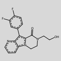 O=C1c2c(-c3ccc(F)c(F)c3)c3ncccc3n2CCN1CCO